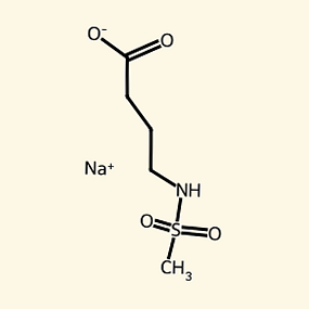 CS(=O)(=O)NCCCC(=O)[O-].[Na+]